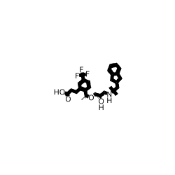 C[C@@H](OC[C@H](O)CNC(C)(C)CC1Cc2ccccc2C1)c1ccc(C(F)(F)F)cc1CCC(=O)O